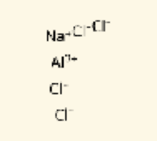 [Al+3].[Cl-].[Cl-].[Cl-].[Cl-].[Na+]